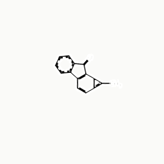 CC1=C2C=CC3=C(C(=O)c4ccccc43)C12